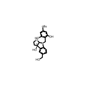 CCCCc1cc(O)c(CN2c3ccc(CO)cc3[C@]3(O)CCOC23)c(O)c1